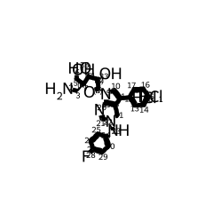 Cl.Cl.NC[C@]1(CO)O[C@@H](n2cc(-c3ccccc3)c3c2N=CN(Nc2ccc(F)cc2)C3)[C@H](O)[C@@H]1O